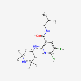 CCCCC(CC)CNC(=O)c1cc(F)c(Cl)nc1NC1CC(C)(C)NC(C)(C)C1